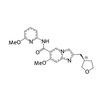 COc1cccc(NC(=O)c2cn3cc(C[C@H]4CCOC4)nc3cc2OC)n1